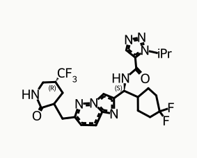 CC(C)n1nncc1C(=O)N[C@H](c1cn2nc(CC3C[C@@H](C(F)(F)F)CNC3=O)ccc2n1)C1CCC(F)(F)CC1